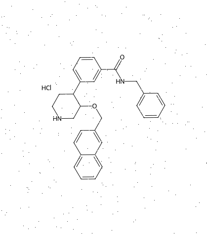 Cl.O=C(NCc1ccccc1)c1cccc(C2CCNCC2OCc2ccc3ccccc3c2)c1